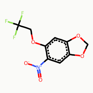 O=[N+]([O-])c1cc2c(cc1OCC(F)(F)F)OCO2